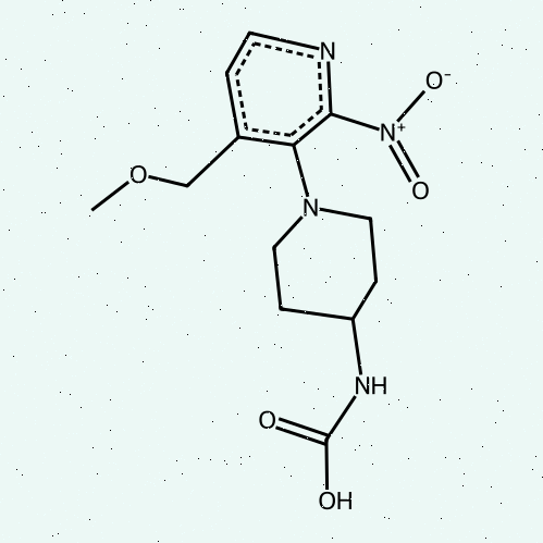 COCc1ccnc([N+](=O)[O-])c1N1CCC(NC(=O)O)CC1